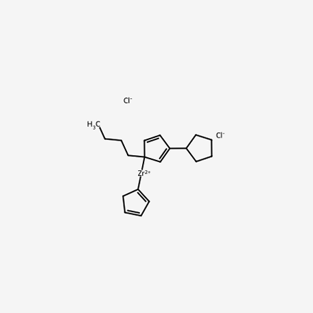 CCCC[C]1([Zr+2][C]2=CC=CC2)C=CC(C2CCCC2)=C1.[Cl-].[Cl-]